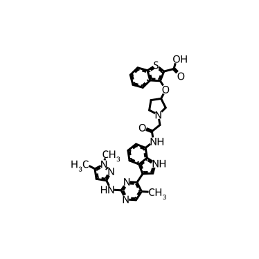 Cc1cnc(Nc2cc(C)n(C)n2)nc1-c1c[nH]c2c(NC(=O)CN3CCC(Oc4c(C(=O)O)sc5ccccc45)C3)cccc12